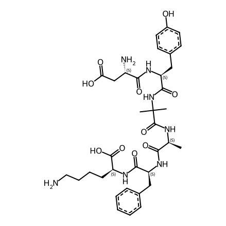 C[C@H](NC(=O)C(C)(C)NC(=O)[C@H](Cc1ccc(O)cc1)NC(=O)[C@@H](N)CC(=O)O)C(=O)N[C@@H](Cc1ccccc1)C(=O)N[C@@H](CCCCN)C(=O)O